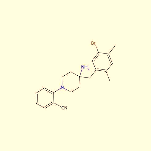 Cc1cc(C)c(CC2(N)CCN(c3ccccc3C#N)CC2)cc1Br